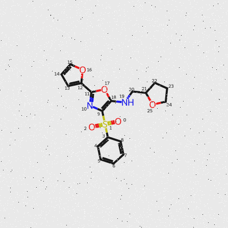 O=S(=O)(c1ccccc1)c1nc(-c2ccco2)oc1NCC1CCCO1